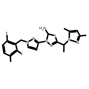 Cc1cc(C)n(C(C)C2=NN(c3ccn(Cc4c(F)ccc(C)c4F)n3)C(N)S2)n1